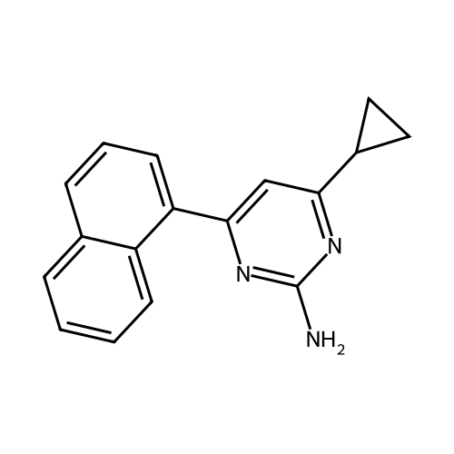 Nc1nc(-c2cccc3ccccc23)cc(C2CC2)n1